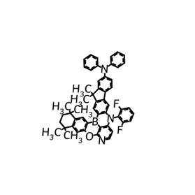 CC1(C)CCC(C)(C)c2cc3c(cc21)Oc1nccc2c1B3c1cc3c(cc1N2c1c(F)cccc1F)-c1ccc(N(c2ccccc2)c2ccccc2)cc1C3(C)C